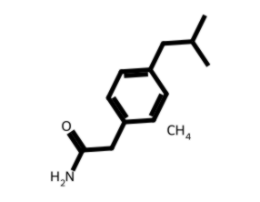 C.CC(C)Cc1ccc(CC(N)=O)cc1